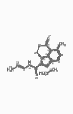 CS(=O)(=O)O.Cc1ccc2cc(C(=O)NC=NN)n3c2c1C(=O)CC3